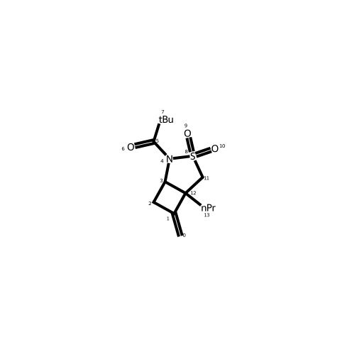 C=C1CC2N(C(=O)C(C)(C)C)S(=O)(=O)CC12CCC